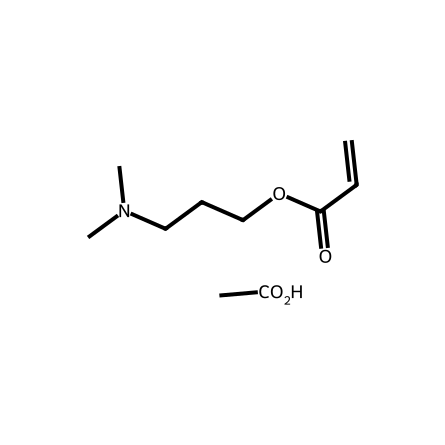 C=CC(=O)OCCCN(C)C.CC(=O)O